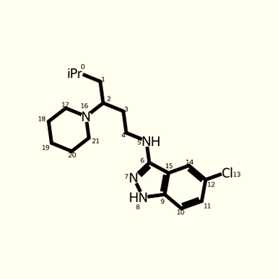 CC(C)CC(CCNc1n[nH]c2ccc(Cl)cc12)N1CCCCC1